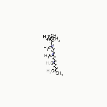 CC(C)=CCC/C(C)=C/CC/C(C)=C/CC/C(C)=C/CCC(=O)C(C)(C)C